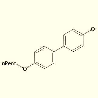 CCCCCOc1ccc(-c2ccc([O])cc2)cc1